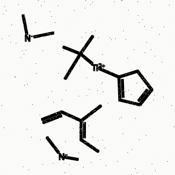 C=CC(C)=CC.C[C](C)(C)[Ti+2][C]1=CC=CC1.C[N-]C.C[N-]C